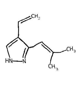 C=Cc1c[nH]nc1C=C(C)C